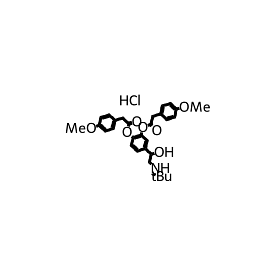 COc1ccc(CC(=O)Oc2ccc(C(O)CNC(C)(C)C)cc2OC(=O)Cc2ccc(OC)cc2)cc1.Cl